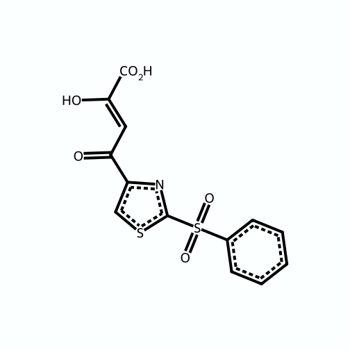 O=C(O)C(O)=CC(=O)c1csc(S(=O)(=O)c2ccccc2)n1